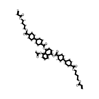 C=CC(=O)OCCCCOC(=O)C1CCC(C2CCC(C(=O)Oc3ccc(OC(=O)C4CCC(C5CCC(C(=O)OCCCCOC(=O)C=C)CC5)CC4)c4c(OC(C)=O)cccc34)CC2)CC1